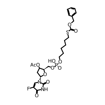 CC(=O)OC1C[C@H](n2cc(F)c(=O)[nH]c2=O)O[C@@H]1COP(=O)(O)OCCCCCCSC(=O)OCc1ccccc1